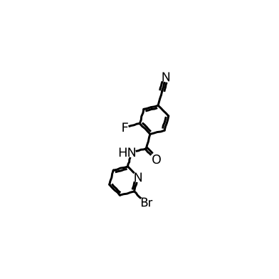 N#Cc1ccc(C(=O)Nc2cccc(Br)n2)c(F)c1